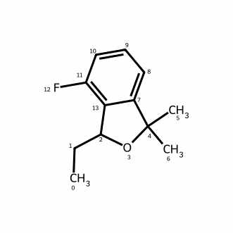 CCC1OC(C)(C)c2cccc(F)c21